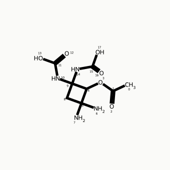 CC(=O)OC1C(N)(N)CC1(NC(=O)O)NC(=O)O